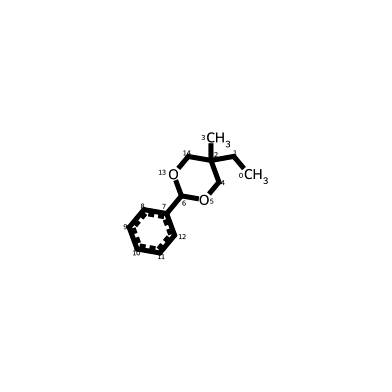 CCC1(C)COC(c2ccccc2)OC1